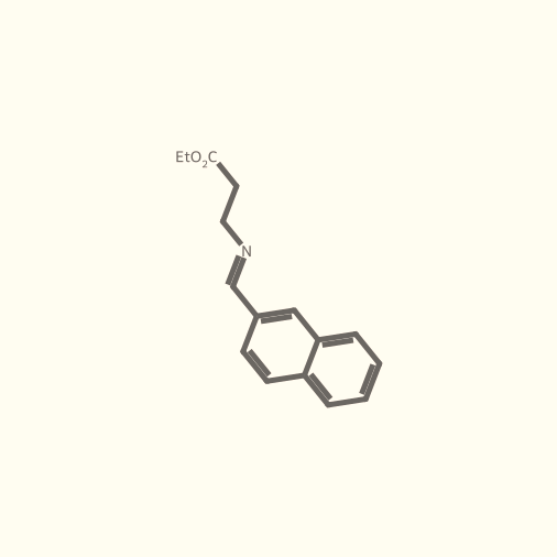 CCOC(=O)CCN=Cc1ccc2ccccc2c1